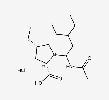 CCC(CC)CC(NC(C)=O)N1C[C@@H](CC)C[C@H]1C(=O)O.Cl